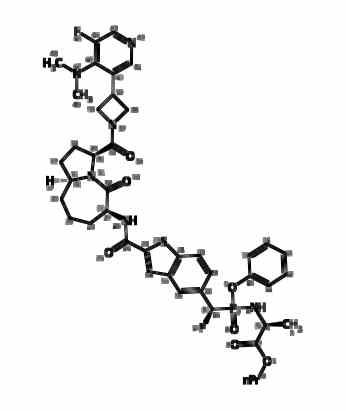 CCCOC(=O)[C@H](C)NP(=O)(Oc1ccccc1)[C@@H](F)c1ccc2sc(C(=O)N[C@H]3CCC[C@H]4CC[C@@H](C(=O)N5CC(c6cncc(F)c6N(C)C)C5)N4C3=O)cc2c1